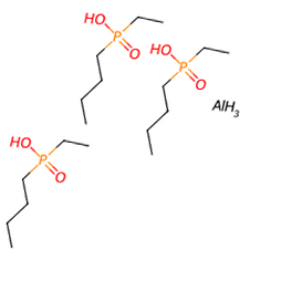 CCCCP(=O)(O)CC.CCCCP(=O)(O)CC.CCCCP(=O)(O)CC.[AlH3]